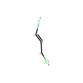 FC=CCCl